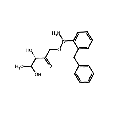 C[C@H](O)[C@H](O)C(=O)CON(N)c1ccccc1Cc1ccccc1